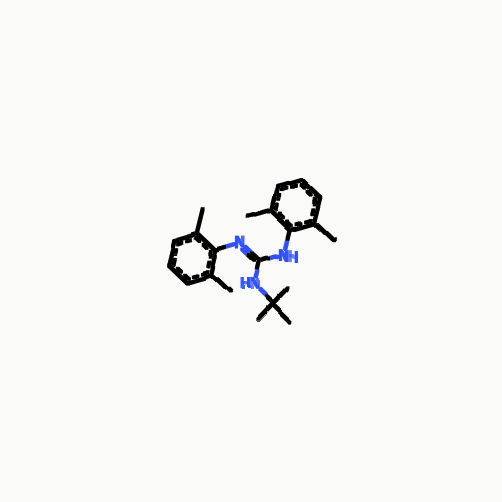 Cc1cccc(C)c1/N=C(/Nc1c(C)cccc1C)NC(C)(C)C